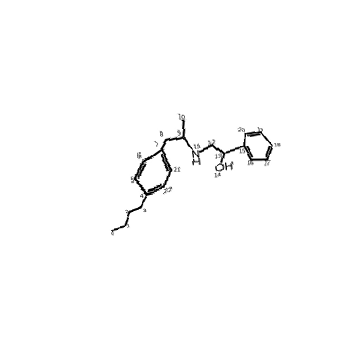 CCCCc1ccc(CC(C)NCC(O)c2ccccc2)cc1